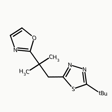 CC(C)(C)c1nnc(CC(C)(C)c2ncco2)s1